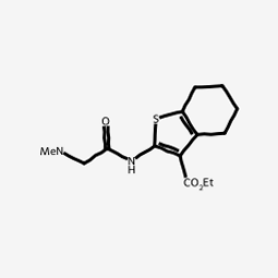 CCOC(=O)c1c(NC(=O)CNC)sc2c1CCCC2